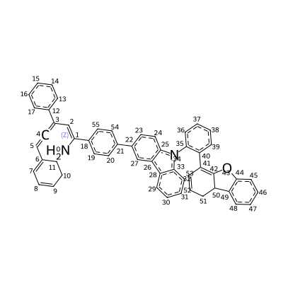 N/C(=C\C(=C=CC1=CC=CCC1)c1ccccc1)c1ccc(-c2ccc3c(c2)c2ccccc2n3-c2ccccc2C2=C3Oc4ccccc4C3CC=C2)cc1